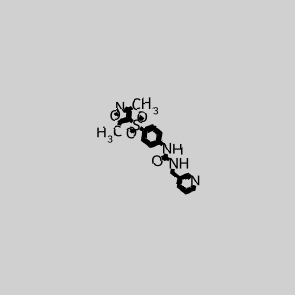 Cc1noc(C)c1S(=O)(=O)c1ccc(NC(=O)NCc2cccnc2)cc1